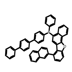 c1ccc(-c2ccc(-c3ccc(N(c4ccccc4)c4cc5c(oc6cccc(-c7ccc8ccccc8c7)c65)c5ccccc45)cc3)cc2)cc1